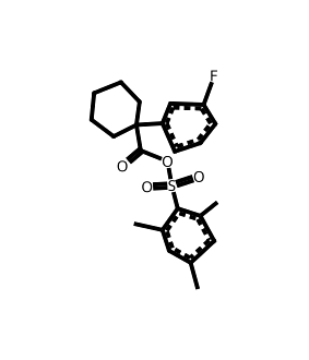 Cc1cc(C)c(S(=O)(=O)OC(=O)C2(c3cccc(F)c3)CCCCC2)c(C)c1